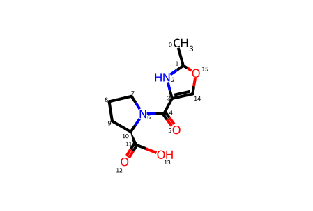 CC1NC(C(=O)N2CCC[C@@H]2C(=O)O)=CO1